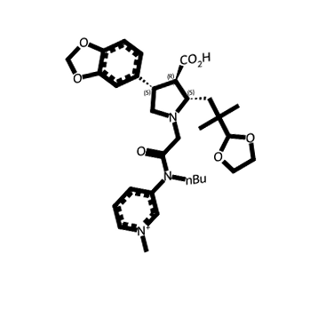 CCCCN(C(=O)CN1C[C@H](c2ccc3c(c2)OCO3)[C@@H](C(=O)O)[C@@H]1CC(C)(C)C1OCCO1)c1ccc[n+](C)c1